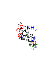 CCOC(=O)c1c(CN)cc(-c2ccc(OC(F)(F)F)nc2)c2ncoc12